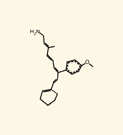 COc1ccc(C(=C\C=C\C(C)=C\CN)/C=C/C2=CCCCC2)cc1